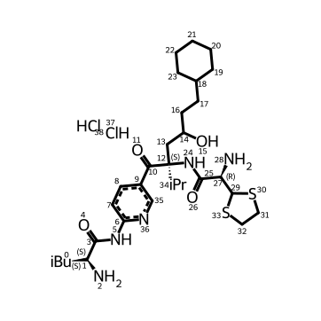 CC[C@H](C)[C@H](N)C(=O)Nc1ccc(C(=O)[C@@](CC(O)CCC2CCCCC2)(NC(=O)[C@@H](N)C2SCCS2)C(C)C)cn1.Cl.Cl